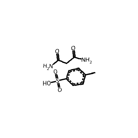 Cc1ccc(S(=O)(=O)O)cc1.NC(=O)CC(N)=O